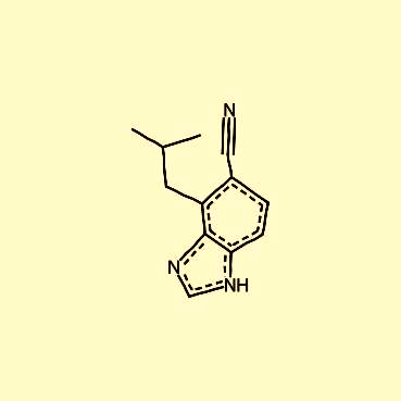 CC(C)Cc1c(C#N)ccc2[nH]cnc12